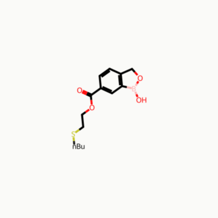 CCCCSCCOC(=O)c1ccc2c(c1)B(O)OC2